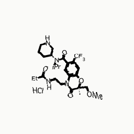 CCC(=O)NCCN1C(=O)[C@](C)(COC)Oc2cc(C(F)(F)F)c(C(=O)N(C(C)C)[C@@H]3CCCNC3)cc21.Cl